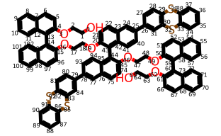 OCCOc1ccc2ccccc2c1-c1c(OCCOc2ccc3cc(-c4ccc5c(c4)Sc4ccccc4S5)ccc3c2-c2c(OCCOc3ccc4ccccc4c3-c3c(OCCO)ccc4ccccc34)ccc3cc(-c4ccc5c(c4)Sc4ccccc4S5)ccc23)ccc2ccccc12